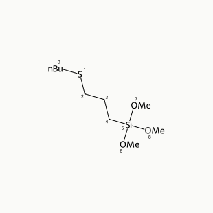 CCCCSCCC[Si](OC)(OC)OC